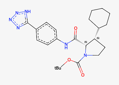 CC(C)(C)OC(=O)N1CC[C@@H](C2CCCCC2)[C@H]1C(=O)Nc1ccc(-c2nnn[nH]2)cc1